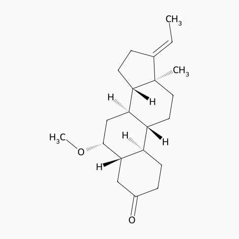 CC=C1CC[C@H]2[C@@H]3C[C@@H](OC)[C@H]4CC(=O)CC[C@@H]4[C@H]3CC[C@]12C